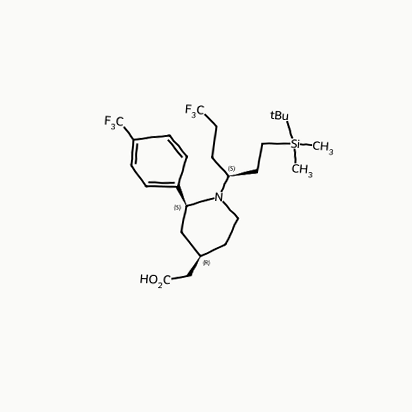 CC(C)(C)[Si](C)(C)CC[C@H](CCC(F)(F)F)N1CC[C@@H](CC(=O)O)C[C@H]1c1ccc(C(F)(F)F)cc1